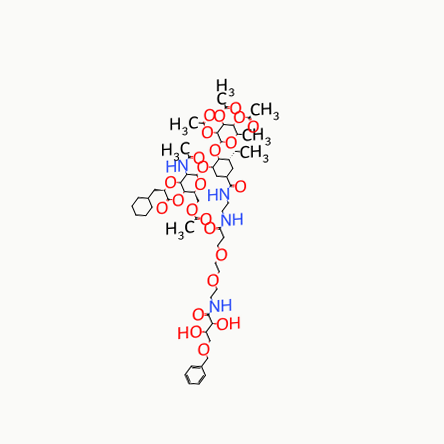 CC[C@@H]1CC(C(=O)NCCNC(=O)CCOCCOCCNC(=O)[C@@H](O)[C@H](O)COCc2ccccc2)CC(O[C@@H]2O[C@@H](COC(C)=O)C3OC(=O)[C@@H](CC4CCCCC4)OC3C2NC(C)=O)C1OC1OC(C)C(OC(C)=O)C(OC(C)=O)C1OC(C)=O